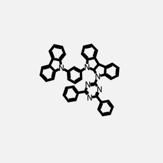 c1ccc(-c2nc(-c3ccccc3)nc(N3c4ccccc4C4c5ccccc5N(c5cccc(-n6c7ccccc7c7ccccc76)c5)C43)n2)cc1